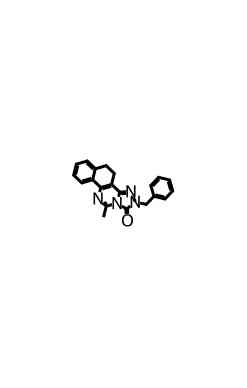 Cc1nc2c(c3nn(Cc4ccccc4)c(=O)n13)CCc1ccccc1-2